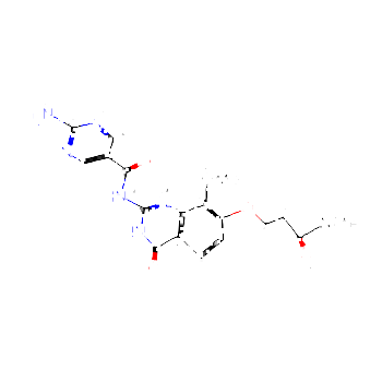 CNC(=O)CCOc1ccc2c(=O)[nH]c(NC(=O)c3cnc(N)nc3)nc2c1OC